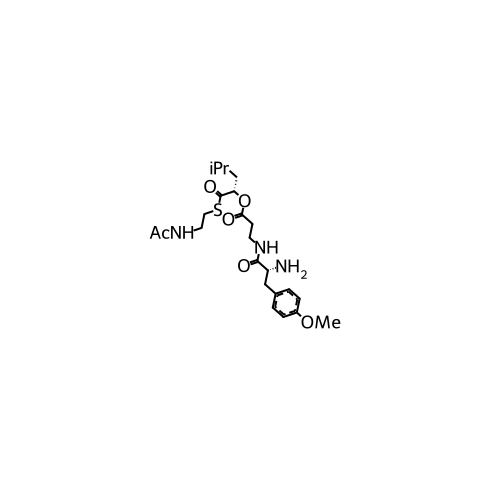 COc1ccc(C[C@@H](N)C(=O)NCCC(=O)O[C@@H](CC(C)C)C(=O)SCCNC(C)=O)cc1